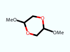 COC1COC(OC)CO1